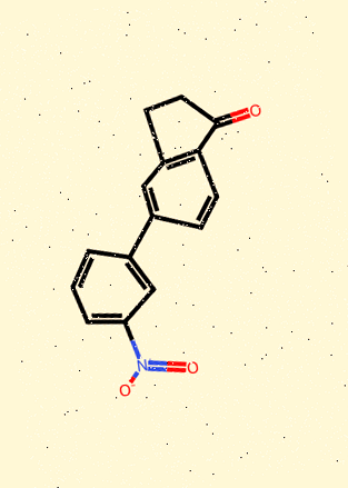 O=C1CCc2cc(-c3cccc([N+](=O)[O-])c3)ccc21